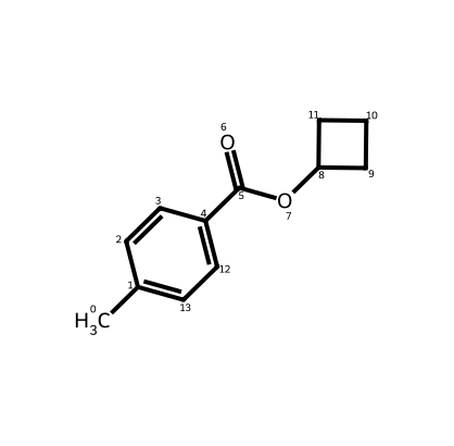 Cc1ccc(C(=O)OC2CCC2)cc1